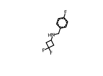 Fc1ccc(CNC2CC(F)(F)C2)cc1